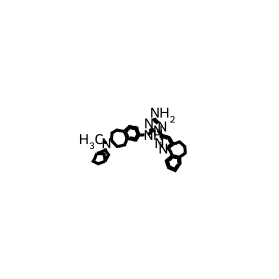 CN(C1CCc2ccc(Nc3nc(N)nn3-c3cc4c(nn3)-c3ccccc3CCC4)cc2CC1)C1CC2CCC1C2